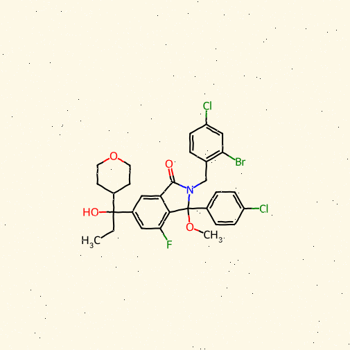 CCC(O)(c1cc(F)c2c(c1)C(=O)N(Cc1ccc(Cl)cc1Br)C2(OC)c1ccc(Cl)cc1)C1CCOCC1